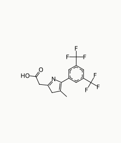 CC1=C(c2cc(C(F)(F)F)cc(C(F)(F)F)c2)N=C(CC(=O)O)C1